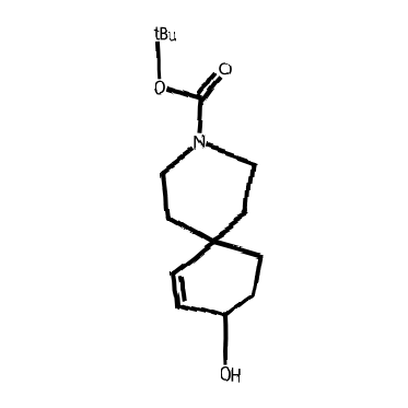 CC(C)(C)OC(=O)N1CCC2(C=CC(O)CC2)CC1